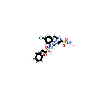 CC1=NC(S(N)(=O)=O)=C[N+]1(C)c1ccc(Cl)cc1NS(=O)(=O)c1cc2ccccc2o1